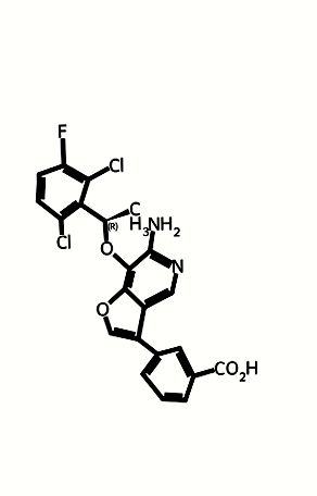 C[C@@H](Oc1c(N)ncc2c(-c3cccc(C(=O)O)c3)coc12)c1c(Cl)ccc(F)c1Cl